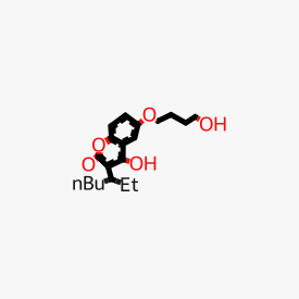 CCCCC(CC)c1c(O)c2cc(OCCCCO)ccc2oc1=O